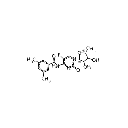 Cc1cc(C)cc(C(=O)Nc2nc(=O)n([C@@H]3O[C@H](C)C(O)C3O)cc2F)c1